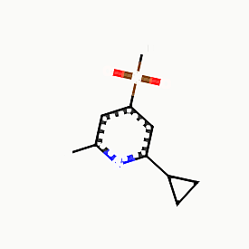 Cc1cc(S(C)(=O)=O)cc(C2CC2)n1